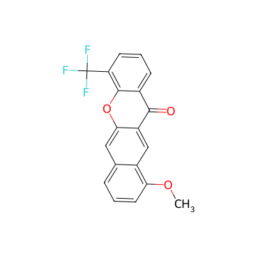 COc1cccc2cc3oc4c(C(F)(F)F)cccc4c(=O)c3cc12